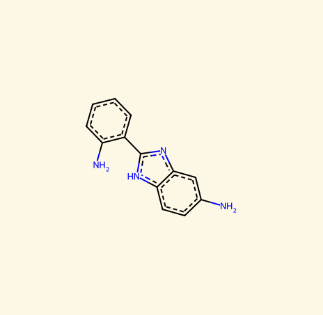 Nc1ccc2[nH]c(-c3ccccc3N)nc2c1